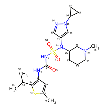 Cc1cc(NC(=O)NS(=O)(=O)N(c2cnn(C3CC3)c2)C2CCCN(C)C2)c(C(C)C)s1